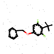 CC(C)(C)c1c(F)cc(OCc2ccccc2)cc1F